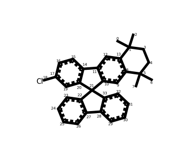 CC1(C)CCC(C)(C)c2cc3c(cc21)-c1ccc(Cl)cc1C31c2ccccc2-c2ccccc21